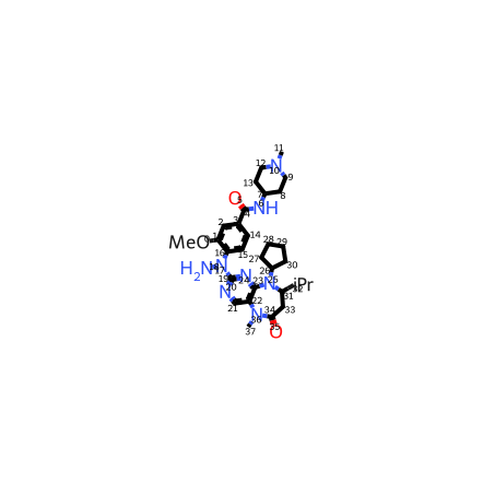 COc1cc(C(=O)NC2CCN(C)CC2)ccc1N(N)c1ncc2c(n1)N(C1CCCC1)C(C(C)C)CC(=O)N2C